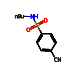 CCCCNS(=O)(=O)c1ccc(C#N)cc1